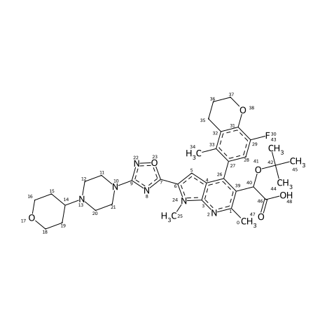 Cc1nc2c(cc(-c3nc(N4CCN(C5CCOCC5)CC4)no3)n2C)c(-c2cc(F)c3c(c2C)CCCO3)c1C(OC(C)(C)C)C(=O)O